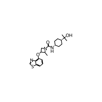 CC1C(Oc2cccc3scnc23)CN1C(=O)N[C@H]1CC[C@H](C(C)(C)O)CC1